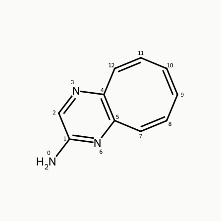 Nc1cnc2c(n1)\C=C/C=C\C=C/2